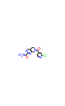 NC(=O)c1n[c]c2c(n1)CN(C(=O)c1ccnc(Cl)c1)CC2